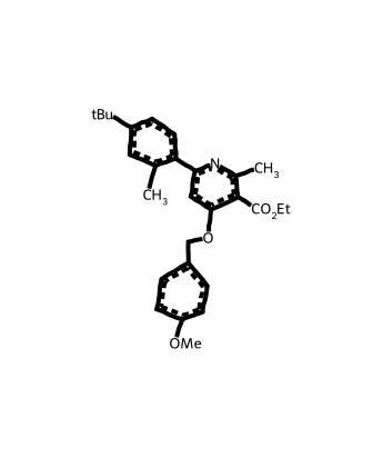 CCOC(=O)c1c(OCc2ccc(OC)cc2)cc(-c2ccc(C(C)(C)C)cc2C)nc1C